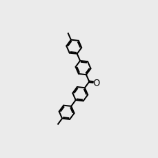 Cc1ccc(-c2ccc(C(=O)c3ccc(-c4ccc(C)cc4)cc3)cc2)cc1